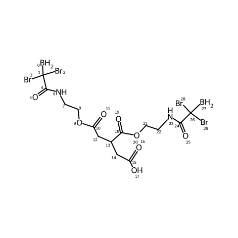 BC(Br)(Br)C(=O)NCCOC(=O)CC(CC(=O)O)C(=O)OCCNC(=O)C(B)(Br)Br